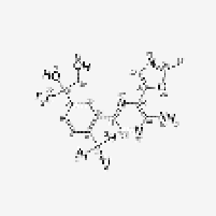 [2H]C([2H])([2H])c1ccc(C(O)(CO)C(F)(F)F)cc1-c1cnc(N)c(-c2cnc(C)o2)n1